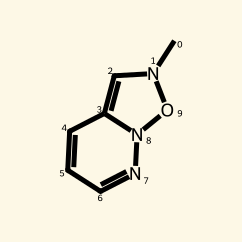 CN1C=C2C=CC=NN2O1